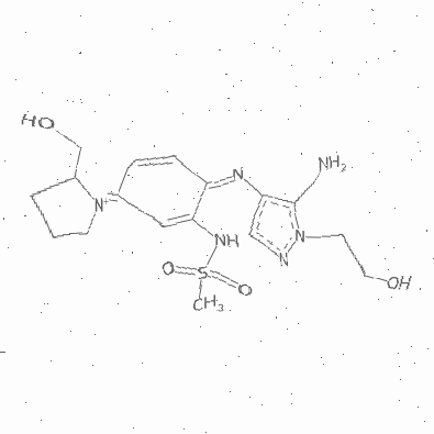 CS(=O)(=O)NC1=CC(=[N+]2\CCCC2CO)/C=CC/1=N/c1cnn(CCO)c1N